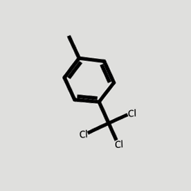 Cc1ccc(C(Cl)(Cl)Cl)cc1